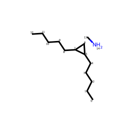 CCCCCC1CC1CCCCC.CN